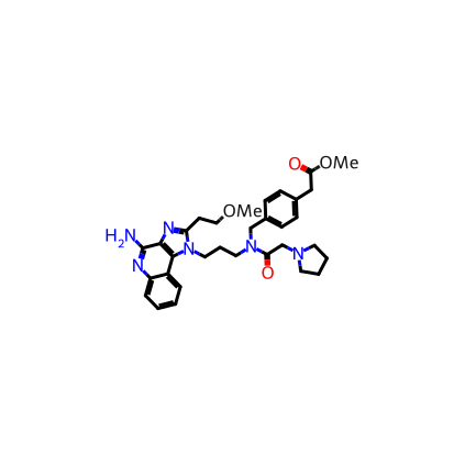 COCCc1nc2c(N)nc3ccccc3c2n1CCCN(Cc1ccc(CC(=O)OC)cc1)C(=O)CN1CCCC1